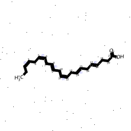 CC/C=C\C/C=C\C/C=C/C/C=C\C/C=C/C/C=C/CCC(=O)O